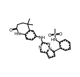 CC1(C)CCC(=O)Nc2ccc(Nc3ncc4ccc(-c5ccccc5NS(C)(=O)=O)n4n3)cc21